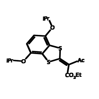 CCOC(=O)C(C(C)=O)=C1Sc2c(OC(C)C)ccc(OC(C)C)c2S1